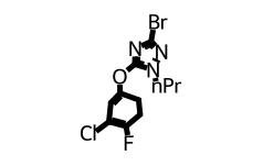 CCCn1nc(Br)nc1OC1=CC(Cl)=C(F)CC1